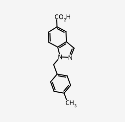 Cc1ccc(Cn2ncc3cc(C(=O)O)ccc32)cc1